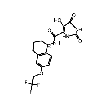 O=C(N[C@@H]1CCCc2cc(OCC(F)(F)F)ccc21)c1[nH]c(=O)[nH]c(=O)c1O